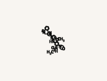 CCC(=O)Nc1cc(Nc2nccc(-n3cc(CN4CCC4)c(-c4ccccc4)n3)n2)c(OC)cc1N1CCOCC1